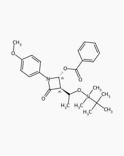 COc1ccc(N2C(=O)[C@H](C(C)O[Si](C)(C)C(C)(C)C)[C@H]2OC(=O)c2ccccc2)cc1